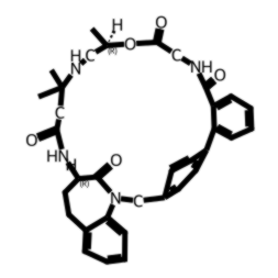 C[C@@H]1CNC(C)(C)CC(=O)N[C@@H]2CCc3ccccc3N(Cc3ccc(cc3)-c3ccccc3C(=O)NCC(=O)O1)C2=O